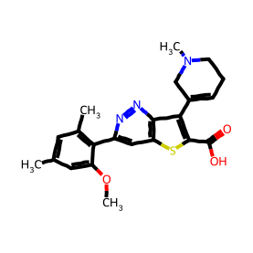 COc1cc(C)cc(C)c1-c1cc2sc(C(=O)O)c(C3=CCCN(C)C3)c2nn1